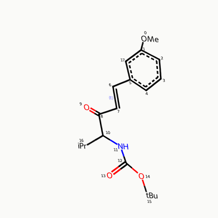 COc1cccc(/C=C/C(=O)C(NC(=O)OC(C)(C)C)C(C)C)c1